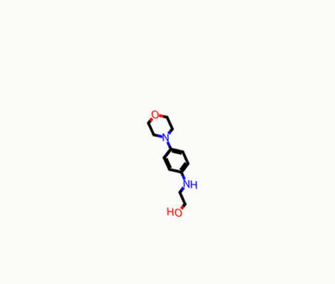 OCCNc1ccc(N2CCOCC2)cc1